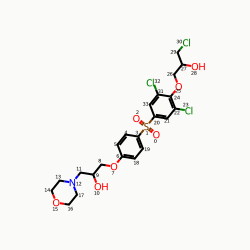 O=S(=O)(c1ccc(OCC(O)CN2CCOCC2)cc1)c1cc(Cl)c(OCC(O)CCl)c(Cl)c1